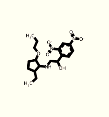 CCCOC1CCC(CC)C1NCC(O)c1ccc([N+](=O)[O-])cc1[N+](=O)[O-]